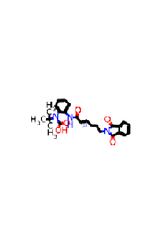 CC(C)(C)N(C(=O)O)c1ccccc1NC(=O)/C=C/CCCN1C(=O)c2ccccc2C1=O